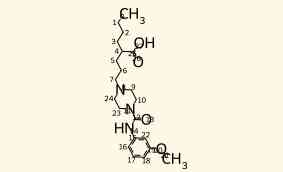 CCCCC(CCCN1CCN(C(=O)Nc2cccc(OC)c2)CC1)C(=O)O